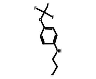 [CH2]CCNc1ccc(OC(F)(F)F)cc1